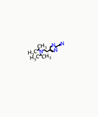 CC(C)N(CCc1cnc(C#N)nc1)C(C)C